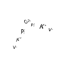 [K+].[K+].[O-2].[P].[P].[V].[V]